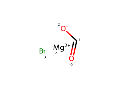 O=C[O-].[Br-].[Mg+2]